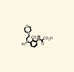 CC(=O)N(CCN1CCOCC1)c1cccc(NC(=O)C(=O)O)c1C(=O)O